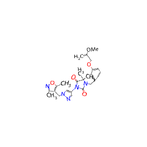 C=C(COc1cccc(CN2C(=O)N(c3cnn(Cc4c(C)noc4C)c3)C(=O)C2(C)C)c1)OC